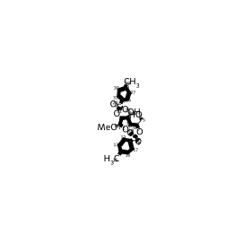 CO[C@H]1O[C@H]([C@H](CO)OS(=O)(=O)c2ccc(C)cc2)[C@H](O)[C@H]1OS(=O)(=O)c1ccc(C)cc1